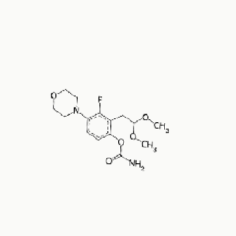 COC(Cc1c(OC(N)=O)ccc(N2CCOCC2)c1F)OC